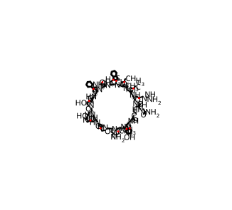 CCCC[C@H]1C(=O)N(C)[C@@H](CCCC)C(=O)N[C@@H](CCCNC(=N)N)C(=O)NC(C(=O)NCC(N)=O)CSCC(=O)N[C@@H](Cc2ccc(O)cc2)C(=O)N(C)[C@@H](C)C(=O)N[C@@H](CC(N)=O)C(=O)N2CCC[C@H]2C(=O)N[C@@H](Cc2cnc[nH]2)C(=O)N[C@@H](CCO)C(=O)N2C[C@H](O)C[C@H]2C(=O)N[C@@H](Cc2c[nH]c3ccccc23)C(=O)N[C@@H](CO)C(=O)N[C@@H](Cc2csc3ccccc23)C(=O)N1C